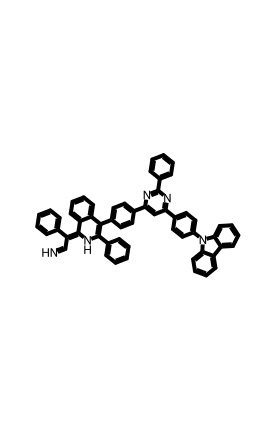 N=C/C(=C1\NC(c2ccccc2)=C(c2ccc(-c3cc(-c4ccc(-n5c6ccccc6c6ccccc65)cc4)nc(-c4ccccc4)n3)cc2)c2ccccc21)c1ccccc1